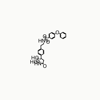 O=C1CC(c2ccc(CCNS(=O)(=O)c3ccc(Oc4ccccc4)cc3)cc2)S(O)(O)N1